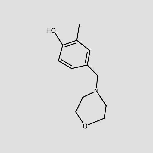 Cc1cc(CN2CCOCC2)ccc1O